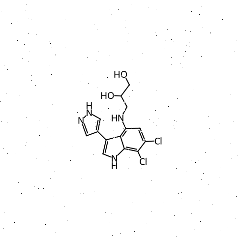 OCC(O)CNc1cc(Cl)c(Cl)c2[nH]cc(-c3cn[nH]c3)c12